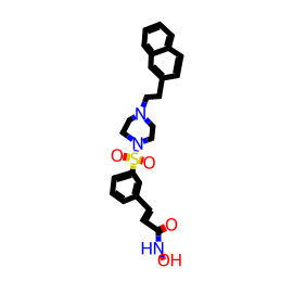 O=C(/C=C/c1cccc(S(=O)(=O)N2CCN(CCc3ccc4ccccc4c3)CC2)c1)NO